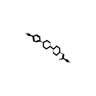 N#CC(F)=C[C@H]1CC[C@H]([C@H]2CC[C@H](c3ccc(C#N)cc3)CC2)CC1